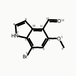 COc1cc(Br)c2[nH]ccc2c1C=O